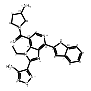 CCn1c(-c2nonc2N)nc2c(-c3cc4ccccc4s3)ncc(C(=O)N3CCC(N)C3)c21